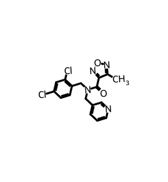 Cc1nonc1C(=O)N(Cc1cccnc1)Cc1ccc(Cl)cc1Cl